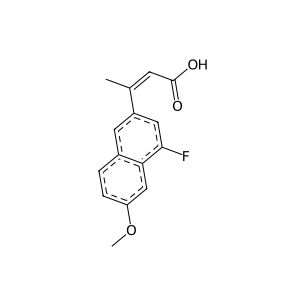 COc1ccc2cc(/C(C)=C\C(=O)O)cc(F)c2c1